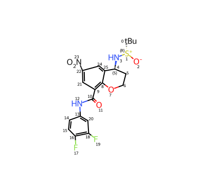 CC(C)(C)[S@+]([O-])N[C@H]1CCOc2c(C(=O)Nc3ccc(F)c(F)c3)cc([N+](=O)[O-])cc21